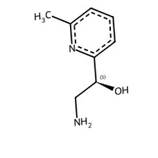 Cc1cccc([C@@H](O)CN)n1